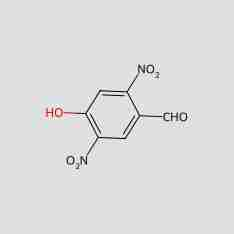 O=Cc1cc([N+](=O)[O-])c(O)cc1[N+](=O)[O-]